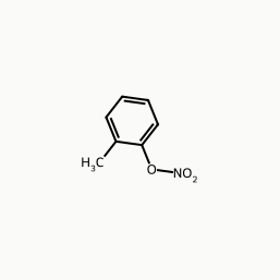 Cc1ccccc1O[N+](=O)[O-]